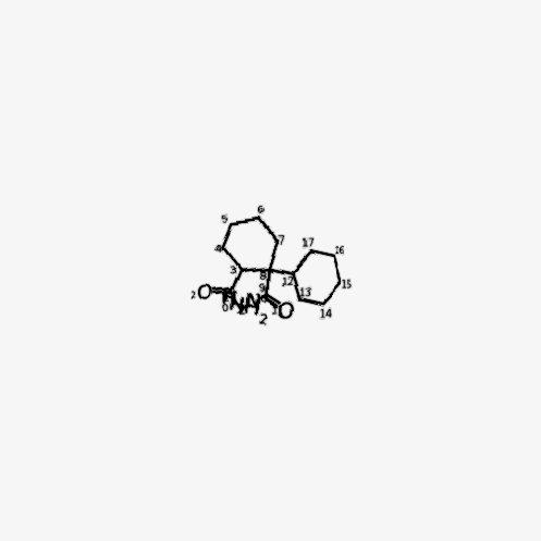 NC(=O)C1CCCCC1(C(N)=O)C1CCCCC1